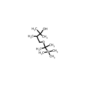 CC(COC(C)(C)[Si](C)(C)C)C(C)(C)O